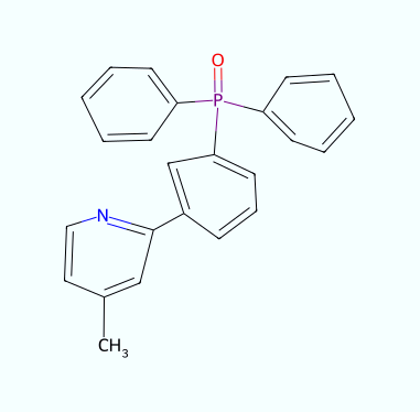 Cc1ccnc(-c2cccc(P(=O)(c3ccccc3)c3ccccc3)c2)c1